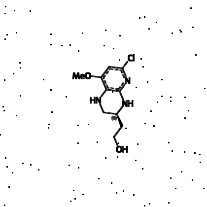 COc1cc(Cl)nc2c1NC[C@H](CCO)N2